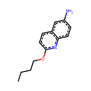 CCCCOc1ccc2cc(N)ccc2n1